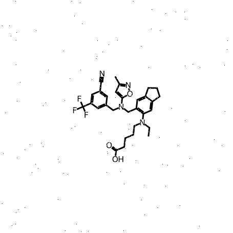 CCN(CCCCC(=O)O)c1cc2c(cc1CN(Cc1cc(C#N)cc(C(F)(F)F)c1)c1cc(C)no1)CCC2